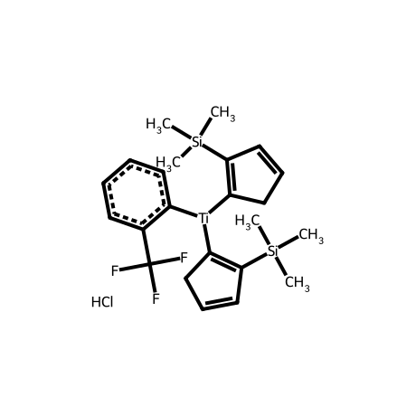 C[Si](C)(C)C1=[C]([Ti]([C]2=C([Si](C)(C)C)C=CC2)[c]2ccccc2C(F)(F)F)CC=C1.Cl